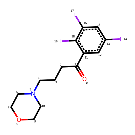 O=C(CCCN1CCOCC1)c1cc(I)cc(I)c1I